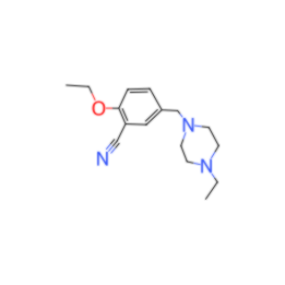 CCOc1ccc(CN2CCN(CC)CC2)cc1C#N